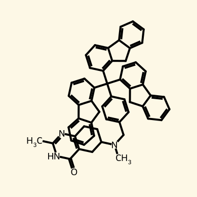 Cc1nc2c(c(=O)[nH]1)CC(N(C)Cc1ccc(C(c3cccc4c3Cc3ccccc3-4)(c3cccc4c3Cc3ccccc3-4)c3cccc4c3Cc3ccccc3-4)cc1)CC2